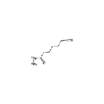 C#CCCCCCC(=O)NCCCC